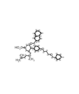 CN(C)CCN(C)CC1CN(C(=O)O)CC(OCc2ccc3ccccc3c2)C1c1ccc(OCCCOCc2ccccc2)cc1